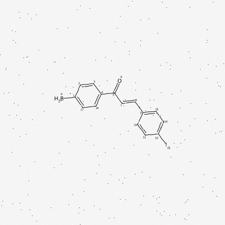 Bc1ccc(C(=O)C=Cc2ccc(I)cc2)cc1